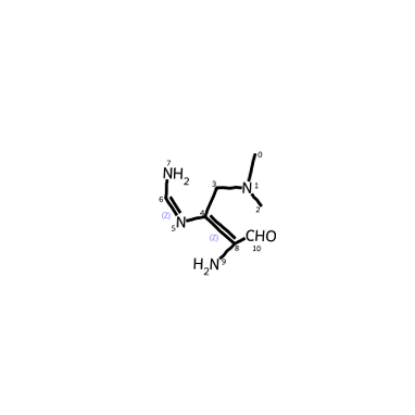 CN(C)CC(/N=C\N)=C(/N)C=O